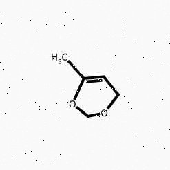 CC1=CCOCO1